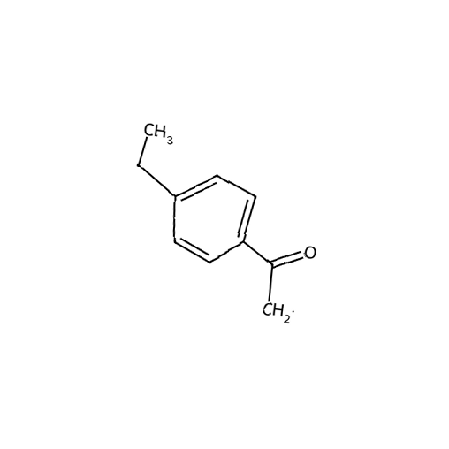 [CH2]C(=O)c1ccc(CC)cc1